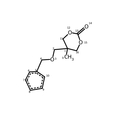 CC1(COCc2ccccc2)COC(=O)OC1